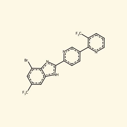 FC(F)(F)c1cc(Br)c2nc(-c3ccc(-c4ncccc4C(F)(F)F)cn3)[nH]c2c1